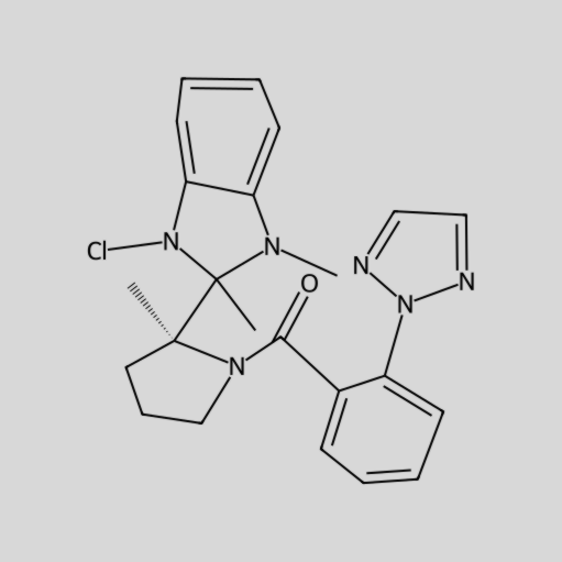 CN1c2ccccc2N(Cl)C1(C)[C@]1(C)CCCN1C(=O)c1ccccc1-n1nccn1